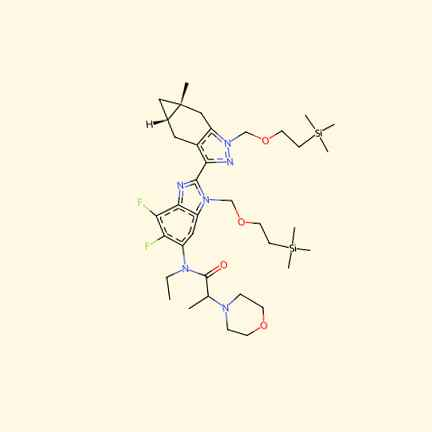 CCN(C(=O)C(C)N1CCOCC1)c1cc2c(nc(-c3nn(COCC[Si](C)(C)C)c4c3C[C@@H]3C[C@]3(C)C4)n2COCC[Si](C)(C)C)c(F)c1F